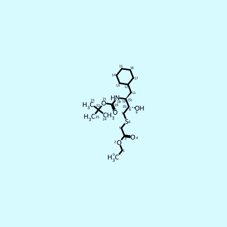 CCOC(=O)CSC[C@@H](O)[C@H](CC1CCCCC1)NC(=O)OC(C)(C)C